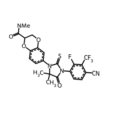 CNC(=O)C1COc2cc(N3C(=S)N(c4ccc(C#N)c(C(F)(F)F)c4F)C(=O)C3(C)C)ccc2O1